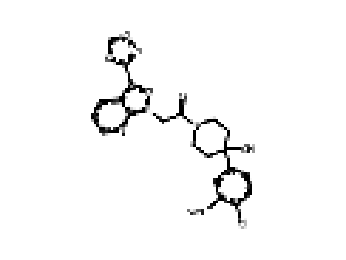 COc1cc(C2(C#N)CCN(C(=O)Cn3nc(-c4ncon4)c4cccnc43)CC2)ccc1Cl